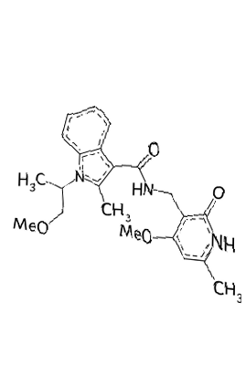 COCC(C)n1c(C)c(C(=O)NCc2c(OC)cc(C)[nH]c2=O)c2ccccc21